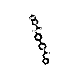 O=C(CC1CCCC1)N1CC=C(c2ccc(NC(=O)N3Cc4ncsc4C3)cc2)CC1